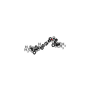 CN[C@@H](C)C(=O)N[C@H](C(=O)N1CCC[C@H]1C(=O)N[C@@H]1CCCc2cc(N3CCN(c4ccc5c(c4)CCC[C@H]5NC(=O)[C@@H]4CCCN4C(=O)[C@@H](NC(=O)[C@H](C)NC)C4CCCCC4)CC3)ccc21)C1CCCCC1